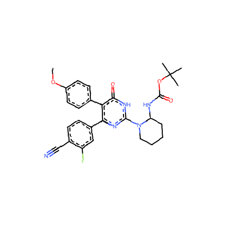 COc1ccc(-c2c(-c3ccc(C#N)c(F)c3)nc(N3CCCCC3NC(=O)OC(C)(C)C)[nH]c2=O)cc1